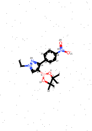 CCn1cc(B2OC(C)(C)C(C)(C)O2)c(-c2ccc([N+](=O)[O-])cc2)n1